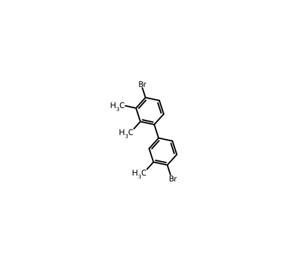 Cc1cc(-c2ccc(Br)c(C)c2C)ccc1Br